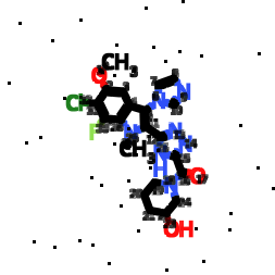 COc1cc2c(-n3ccnc3)c(-c3nnc(C(=O)N4CCC[C@H](O)C4)[nH]3)n(C)c2c(F)c1Cl